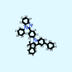 CC1(C)c2ccccc2-c2c1n(-c1ccc(-c3nc4ccccc4n3-c3ccccc3)cc1)c1ccc(-c3ccccc3)cc21